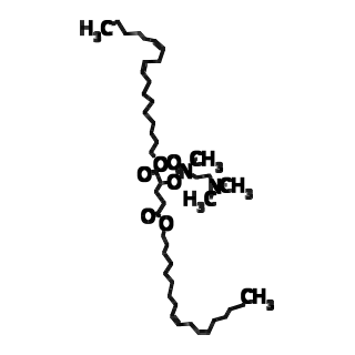 CCCCC/C=C\C/C=C\CCCCCCCCOC(=O)CCC(OC(=O)N(C)CCN(C)C)C(=O)OCCCCCCCC/C=C\C/C=C\CCCCC